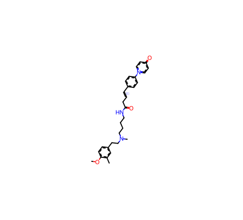 COc1ccc(CCN(C)CCCCNC(=O)C/C=C/c2ccc(-n3ccc(=O)cc3)cc2)cc1C